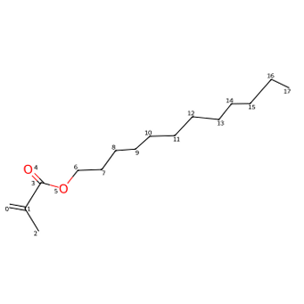 C=C(C)C(=O)OCCCCCCCCCCCC